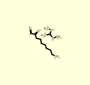 CCCCCCCCC(=O)C=O.COC(C)OC